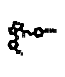 CC(=O)Nc1ccc(CCNC(=O)c2c(Oc3cccc(C(F)(F)F)c3)cnn2C(C)(C)C)cc1